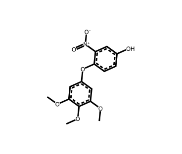 COc1cc(Oc2ccc(O)cc2[N+](=O)[O-])cc(OC)c1OC